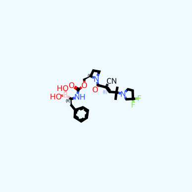 CC(C)(/C=C(\C#N)C(=O)N1CC[C@@H]1COC(=O)N[C@@H](Cc1ccccc1)B(O)O)N1CCC(F)(F)C1